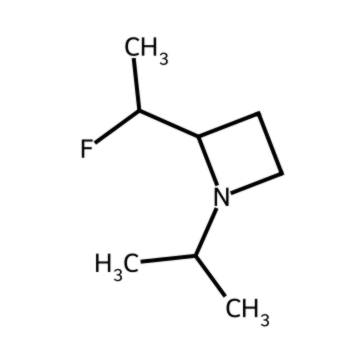 CC(F)C1CCN1C(C)C